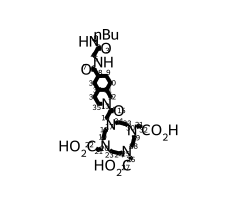 CCCCNC(=O)CNC(=O)C1CCC2CN(C(=O)CN3CCN(CC(=O)O)CCN(CC(=O)O)CCN(CC(=O)O)CC3)CCC2C1